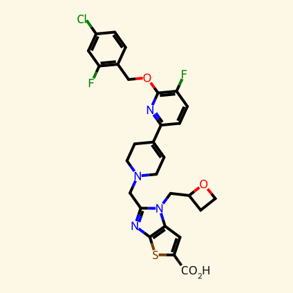 O=C(O)c1cc2c(nc(CN3CC=C(c4ccc(F)c(OCc5ccc(Cl)cc5F)n4)CC3)n2CC2CCO2)s1